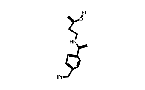 C=C(CCNC(=C)c1ccc(CC(C)C)cc1)OCC